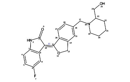 O=C1Nc2ccc(F)cc2/C1=C1\OCc2cc(CN3CCCCC3CO)ccc21